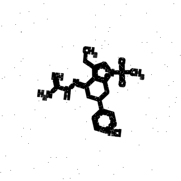 CCc1cn(S(C)(=O)=O)c2c1/C(=N/NC(=N)N)CC(c1ccccc1)C2.Cl